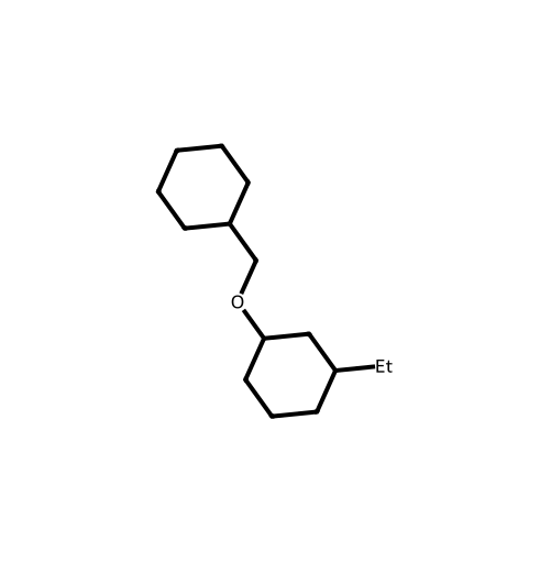 CCC1CCCC(OCC2CCCCC2)C1